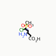 CS(=O)(=O)/C(Cl)=C/[C@@H](N)CC(=O)O